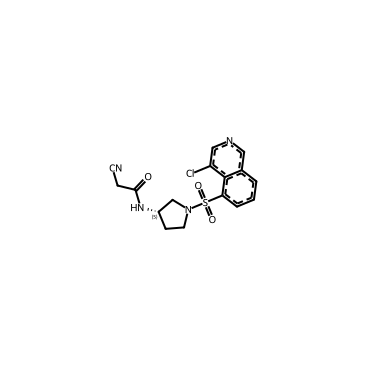 N#CCC(=O)N[C@H]1CCN(S(=O)(=O)c2cccc3cncc(Cl)c23)C1